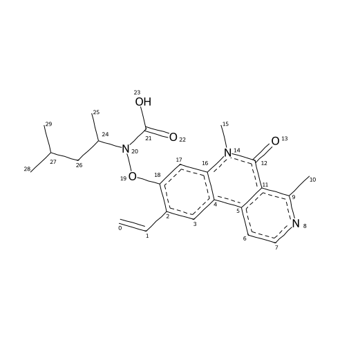 C=Cc1cc2c3ccnc(C)c3c(=O)n(C)c2cc1ON(C(=O)O)C(C)CC(C)C